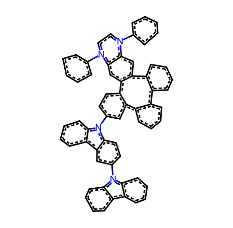 c1ccc(-n2ccn(-c3ccccc3)c3cc4c5ccc(-n6c7ccccc7c7cc(-n8c9ccccc9c9ccccc98)ccc76)cc5c5ccccc5c5ccccc5c4cc32)cc1